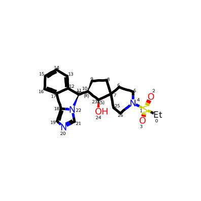 CCS(=O)(=O)N1CCC2(CC[C@H]([C@@H]3c4ccccc4-c4cncn43)[C@@H]2O)CC1